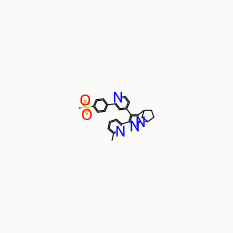 Cc1cccc(-c2nn3c(c2-c2ccnc(-c4ccc(S(C)(=O)=O)cc4)c2)C2CCC3C2)n1